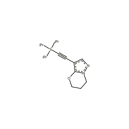 CC(C)[Si](C#Cc1cnn2c1OCCC2)(C(C)C)C(C)C